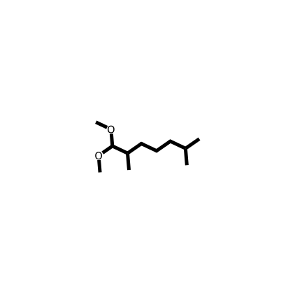 COC(OC)C(C)CCCC(C)C